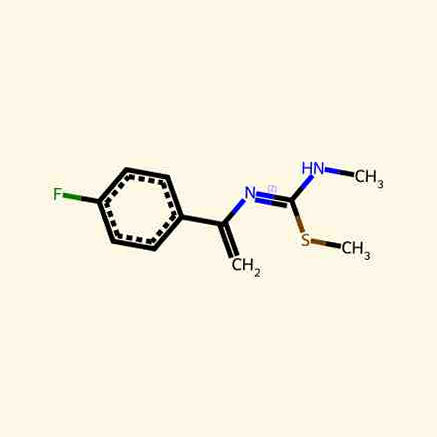 C=C(/N=C(/NC)SC)c1ccc(F)cc1